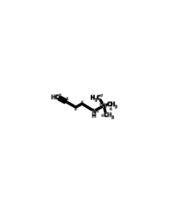 C#CCCN[Si](C)(C)C